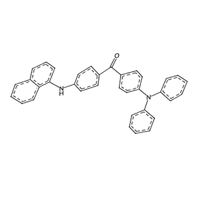 O=C(c1ccc(Nc2cccc3ccccc23)cc1)c1ccc(N(c2ccccc2)c2ccccc2)cc1